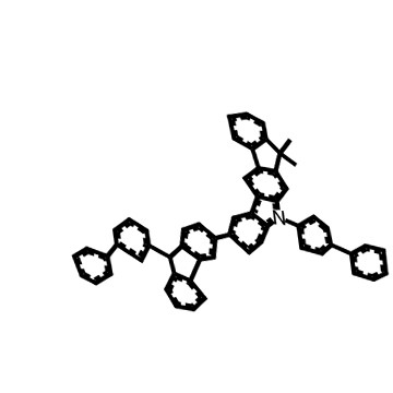 CC1(C)c2ccccc2-c2cc3c4cc(-c5ccc6c(c5)-c5ccccc5C6c5cccc(-c6ccccc6)c5)ccc4n(-c4ccc(-c5ccccc5)cc4)c3cc21